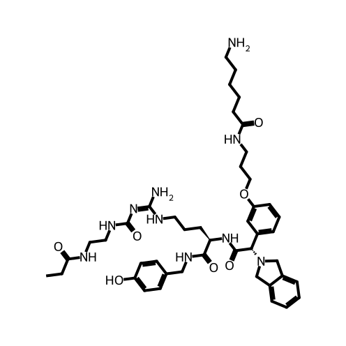 CCC(=O)NCCNC(=O)/N=C(/N)NCCC[C@@H](NC(=O)[C@H](c1cccc(OCCCNC(=O)CCCCCN)c1)N1Cc2ccccc2C1)C(=O)NCc1ccc(O)cc1